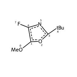 COc1oc(C(C)(C)C)nc1F